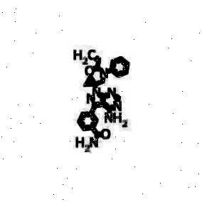 C=CC(=O)N(CC1(n2nc(-c3cccc(C(N)=O)c3)c3c(N)ncnc32)CC1)c1ccccc1